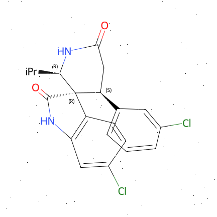 CC(C)[C@H]1NC(=O)C[C@@H](c2cccc(Cl)c2)[C@]12C(=O)Nc1cc(Cl)ccc12